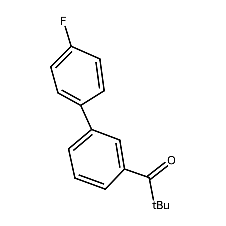 CC(C)(C)C(=O)c1cccc(-c2ccc(F)cc2)c1